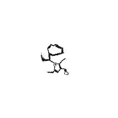 Cc1cc(C=O)c(C)n1C(C)c1ccccc1